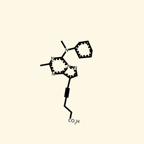 Cc1nc(N(C)c2ccccc2)n2ncc(C#CCCC(=O)O)c2n1